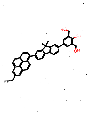 CC(C)Cc1cc2ccc3ccc(-c4ccc5c(c4)C(C)(C)c4cc(-c6cc(CO)c(O)c(CO)c6)ccc4-5)c4ccc(c1)c2c34